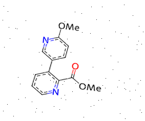 COC(=O)c1ncccc1-c1ccc(OC)nc1